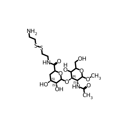 COC1OC(CO)C(O)[C@H](OC2OC(C(=O)NCCSSCCN)C[C@H](O)[C@@H]2O)[C@@H]1NC(C)=O